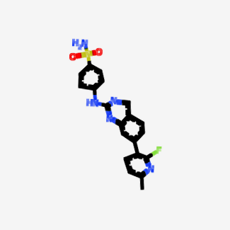 Cc1ccc(-c2ccc3cnc(Nc4ccc(S(N)(=O)=O)cc4)nc3c2)c(F)n1